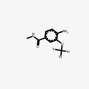 [2H]C([2H])([2H])Oc1cc(C(=O)NC)ccc1N